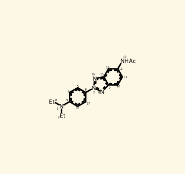 CCN(CC)c1ccc(-n2nc3ccc(NC(C)=O)cc3n2)cc1